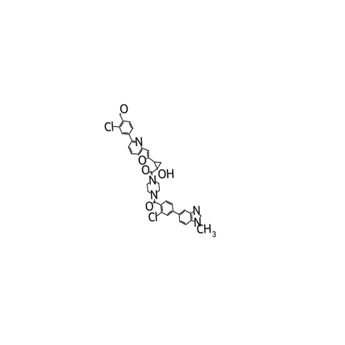 Cn1cnc2cc(-c3ccc(C(=O)N4CCN(C(=O)C5(O)CC5c5cc6nc(-c7ccc(C=O)c(Cl)c7)ccc6o5)CC4)c(Cl)c3)ccc21